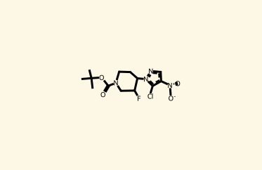 CC(C)(C)OC(=O)N1CCC(n2ncc([N+](=O)[O-])c2Cl)C(F)C1